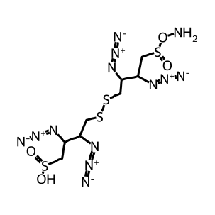 [N-]=[N+]=NC(CSSCC(N=[N+]=[N-])C(CS(=O)ON)N=[N+]=[N-])C(CS(=O)O)N=[N+]=[N-]